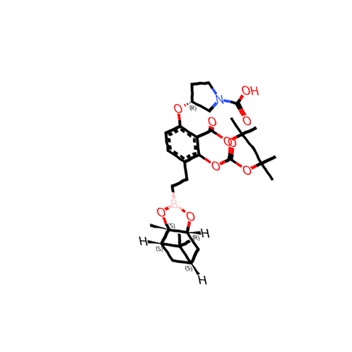 CC(C)(C)OC(=O)Oc1c(CCB2O[C@@H]3C[C@@H]4C[C@@H](C4(C)C)[C@]3(C)O2)ccc(O[C@@H]2CCN(C(=O)O)C2)c1C(=O)OC(C)(C)C